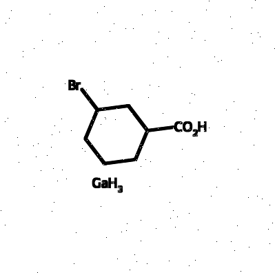 O=C(O)C1CCCC(Br)C1.[GaH3]